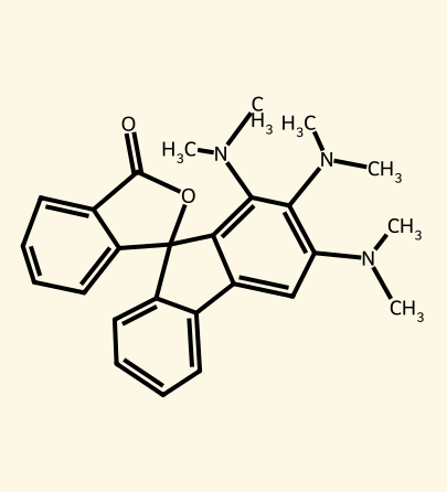 CN(C)c1cc2c(c(N(C)C)c1N(C)C)C1(OC(=O)c3ccccc31)c1ccccc1-2